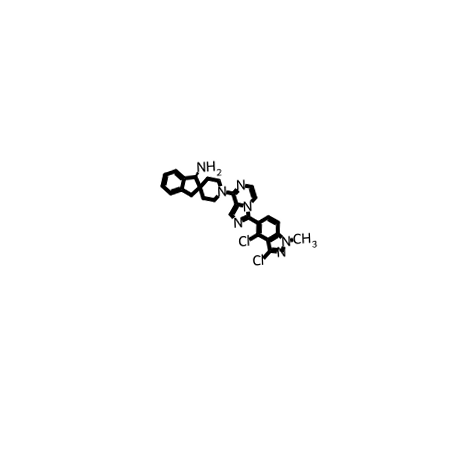 Cn1nc(Cl)c2c(Cl)c(-c3ncc4c(N5CCC6(CC5)Cc5ccccc5[C@H]6N)nccn34)ccc21